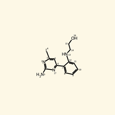 Nc1nc(I)cc(-c2ccccc2NCCO)n1